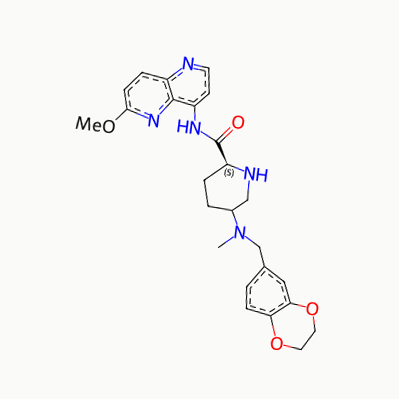 COc1ccc2nccc(NC(=O)[C@@H]3CCC(N(C)Cc4ccc5c(c4)OCCO5)CN3)c2n1